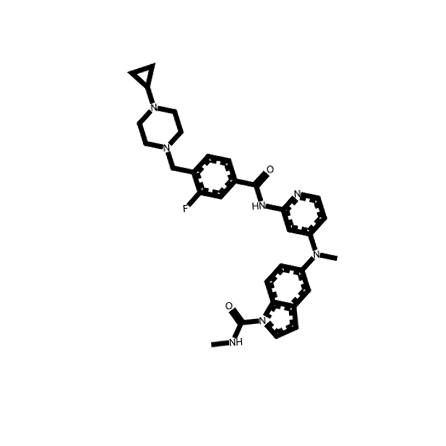 CNC(=O)n1ccc2cc(N(C)c3ccnc(NC(=O)c4ccc(CN5CCN(C6CC6)CC5)c(F)c4)c3)ccc21